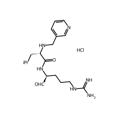 CC(C)C[C@H](NCc1cccnc1)C(=O)N[C@H](C=O)CCCNC(=N)N.Cl